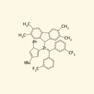 Cc1cc2c(cc1C)[CH]([Zr]([C]1=CC(C(C)(C)C)=CC1C(C)C)=[C](c1cccc(C(F)(F)F)c1)c1cccc(C(F)(F)F)c1)c1cc(C)c(C)cc1-2